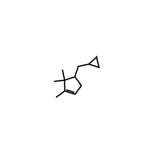 CC1=CCC(CC2[CH]C2)C1(C)C